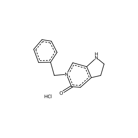 Cl.O=c1cc2c(cn1Cc1ccccc1)NCC2